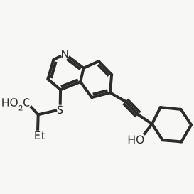 CCC(Sc1ccnc2ccc(C#CC3(O)CCCCC3)cc12)C(=O)O